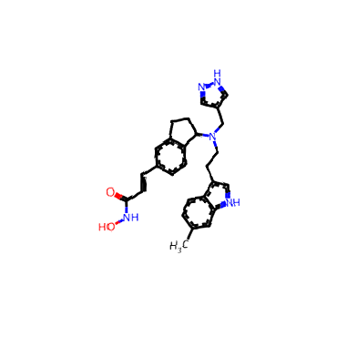 Cc1ccc2c(CCN(Cc3cn[nH]c3)C3CCc4cc(C=CC(=O)NO)ccc43)c[nH]c2c1